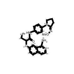 CO/N=C1/CCCN1c1ccc(NC(=O)C(CC(C)C)Oc2ccc3ccnc(N)c3c2)cc1